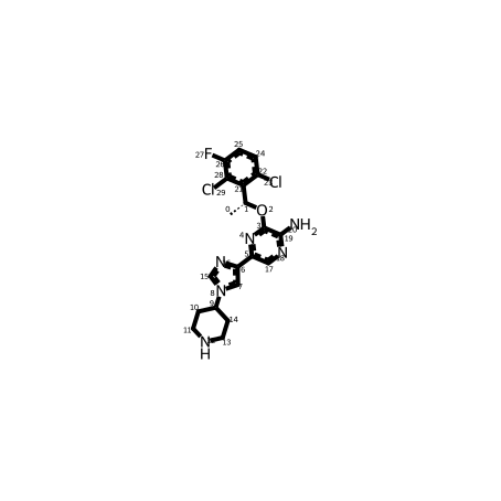 C[C@@H](Oc1nc(-c2cn(C3CCNCC3)cn2)cnc1N)c1c(Cl)ccc(F)c1Cl